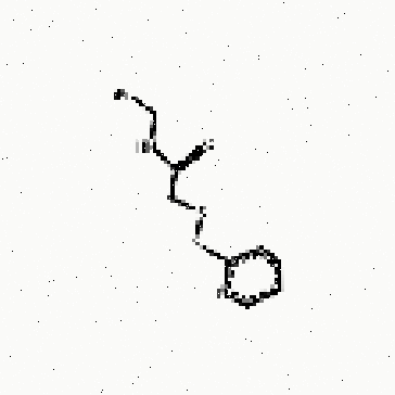 CC(C)CNC(=O)CSSc1ccccn1